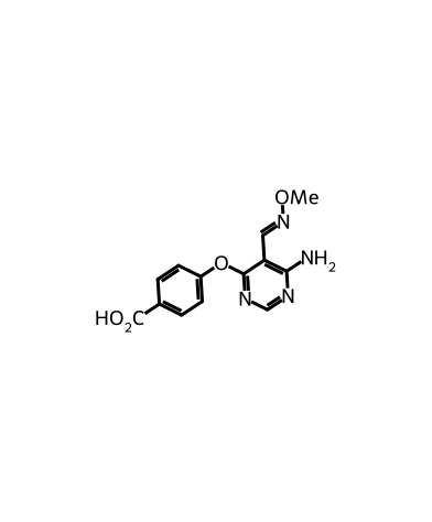 CON=Cc1c(N)ncnc1Oc1ccc(C(=O)O)cc1